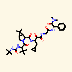 CN(C)C(=O)[C@@H](NC(=O)CNC(=O)C(=O)C(CC1CC1)NC(=O)[C@@H]1C2C(CN1C(=O)C(NC(=O)NC(C)(C)C)C(C)(C)C)C2(C)C)c1ccccc1